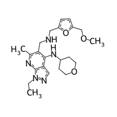 CCn1ncc2c(NC3CCOCC3)c(CNCc3ccc(COC)o3)c(C)nc21